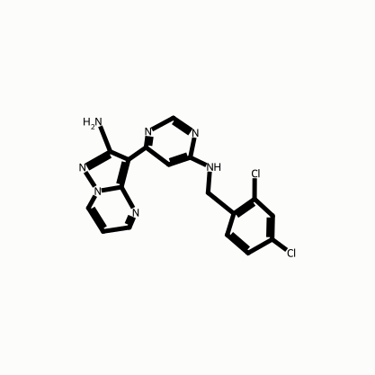 Nc1nn2cccnc2c1-c1cc(NCc2ccc(Cl)cc2Cl)ncn1